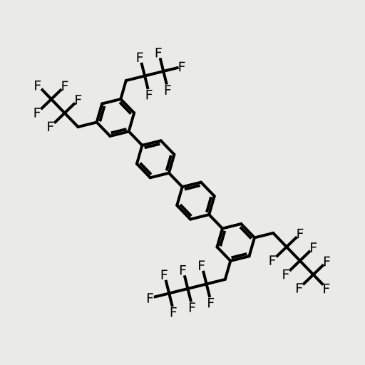 FC(F)(F)C(F)(F)Cc1cc(CC(F)(F)C(F)(F)F)cc(-c2ccc(-c3ccc(-c4cc(CC(F)(F)C(F)(F)C(F)(F)F)cc(CC(F)(F)C(F)(F)C(F)(F)F)c4)cc3)cc2)c1